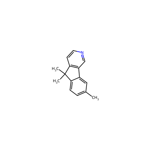 Cc1ccc2c(c1)-c1cnccc1C2(C)C